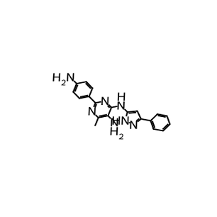 Cc1nc(-c2ccc(N)cc2)nc(Nc2cc(-c3ccccc3)n[nH]2)c1N